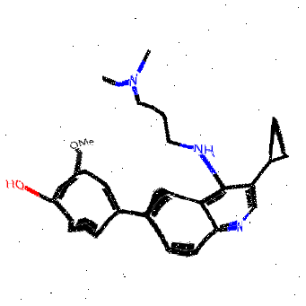 COc1cc(-c2ccc3ncc(C4CC4)c(NCCCN(C)C)c3c2)ccc1O